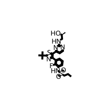 CCCS(=O)(=O)Nc1cccc(-c2nc(C(C)(C)C)sc2-c2ccnc(NC[C@H](C)O)n2)c1F